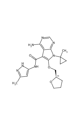 Cc1cc(NC(=O)c2c(OC[C@H]3CCCO3)n(C3(C)CC3)c3ncnc(N)c23)[nH]n1